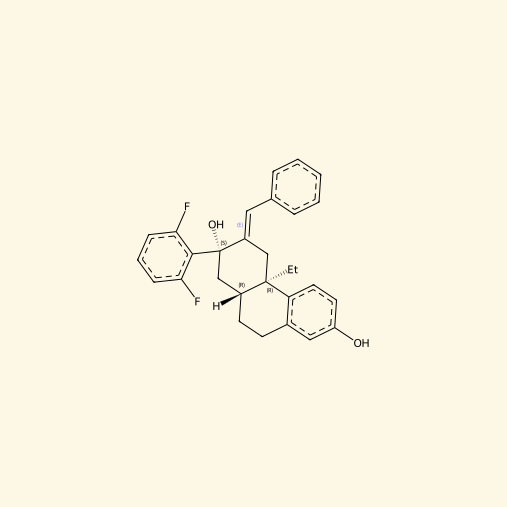 CC[C@@]12C/C(=C\c3ccccc3)[C@](O)(c3c(F)cccc3F)C[C@H]1CCc1cc(O)ccc12